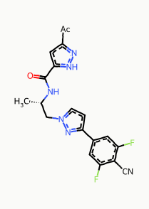 CC(=O)c1cc(C(=O)N[C@@H](C)Cn2ccc(-c3cc(F)c(C#N)c(F)c3)n2)[nH]n1